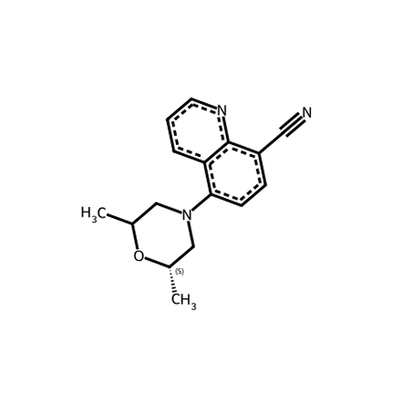 CC1CN(c2ccc(C#N)c3ncccc23)C[C@H](C)O1